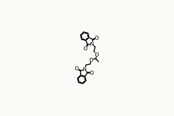 CC(OCCN1C(=O)c2ccccc2C1=O)OCCN1C(=O)c2ccccc2C1=O